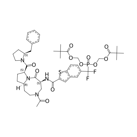 CC(=O)N1CC[C@H]2CC[C@@H](C(=O)N3CCC[C@H]3Cc3ccccc3)N2C(=O)[C@@H](NC(=O)c2cc3cc(C(F)(F)P(=O)(OCOC(=O)C(C)(C)C)OCOC(=O)C(C)(C)C)ccc3s2)C1